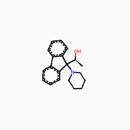 C[C@H](O)C1(N2CCCCC2)c2ccccc2-c2ccccc21